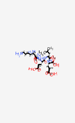 CC(C)C[C@H](NC(=O)[C@H](CCC(=O)O)NC(=O)[C@H](N)CCCCN)C(=O)N[C@H](CCC(=O)O)C(=O)O